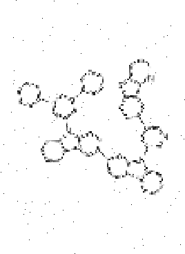 c1ccc(-c2cc(-c3ccccc3)nc(-n3c4ccccc4c4cc(-c5ccc6c7ccccc7n(-c7cncc(-c8ccc9sc%10cccnc%10c9c8)c7)c6c5)ccc43)c2)cc1